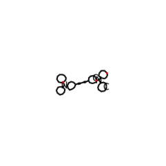 C(C#CC1CCCCC(N(C2CCCCCCCCC2)C2CCCCCCCC2)CCC1)#CC1CCCCC(N(C2CCCCCCCCC2)C2CCCCCCCC2)CCC1